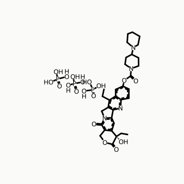 CCc1c2c(nc3ccc(OC(=O)N4CCC(N5CCCCC5)CC4)cc13)-c1cc3c(c(=O)n1C2)COC(=O)[C@]3(O)CC.O=P(O)(O)O.O=P(O)(O)O.O=P(O)(O)O